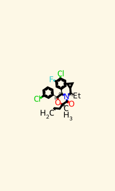 C=CC[C@@]1(C)O[C@H](c2cccc(Cl)c2)[C@@H](c2ccc(Cl)c(F)c2)N([C@H](CC)C2CC2)C1=O